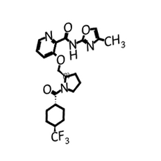 Cc1coc(NC(=O)c2ncccc2OC[C@H]2CCCN2C(=O)[C@H]2CC[C@H](C(F)(F)F)CC2)n1